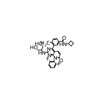 Cc1ccc(C(=O)NC2CCC2)cc1-c1nc(NC(CO)CO)nc2c1ccc(=O)n2-c1c(F)cccc1F